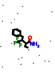 CCC(C(N)=O)C(Cc1ccccc1)C(F)(F)F